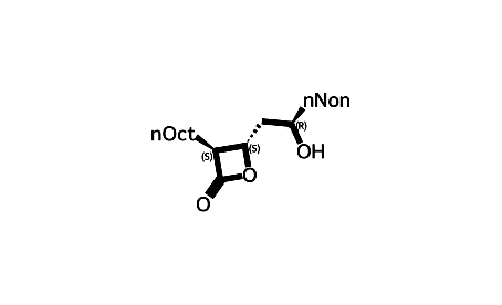 CCCCCCCCC[C@@H](O)C[C@@H]1OC(=O)[C@H]1CCCCCCCC